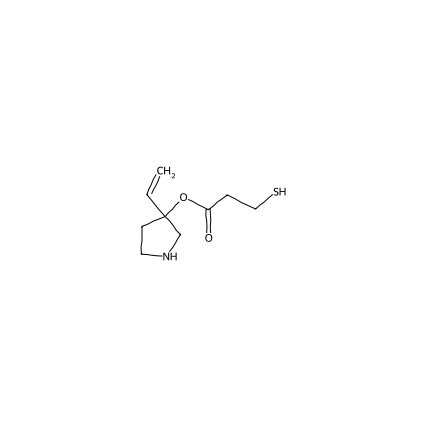 C=CC1(OC(=O)CCS)CCNC1